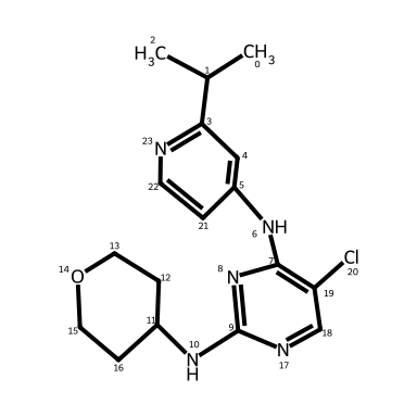 CC(C)c1cc(Nc2nc(NC3CCOCC3)ncc2Cl)ccn1